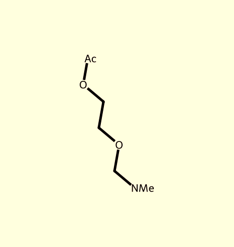 CNCOCCOC(C)=O